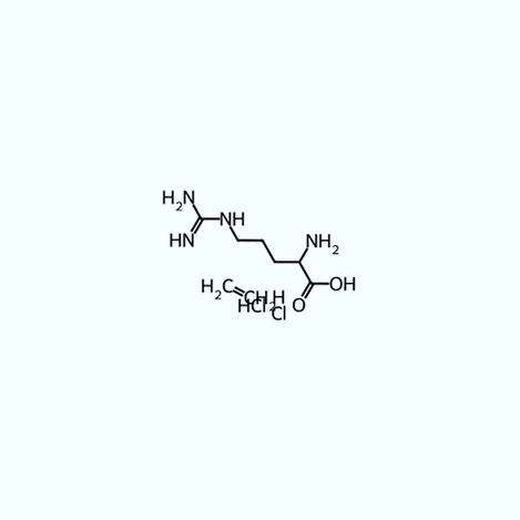 C=C.Cl.Cl.N=C(N)NCCCC(N)C(=O)O